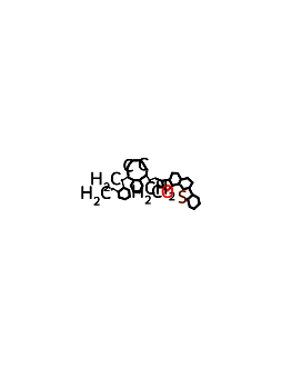 C=Cc1ccccc1C(=C)c1ccccccc(C(=C)/C=c2\c(=C)oc3c2ccc2ccc4c5ccccc5sc4c23)c2ccccc12